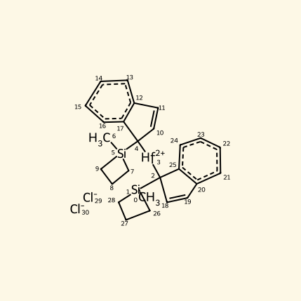 C[Si]1([C]2([Hf+2][C]3([Si]4(C)CCC4)C=Cc4ccccc43)C=Cc3ccccc32)CCC1.[Cl-].[Cl-]